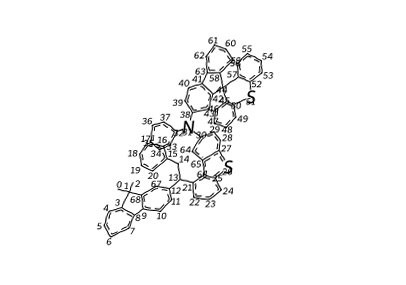 CC1(C)c2ccccc2-c2ccc(C(Cc3ccccc3)c3cccc4sc5ccc(N(c6ccccc6)c6ccc7c(c6)C6(c8ccccc8Sc8ccccc86)c6ccccc6-7)cc5c34)cc21